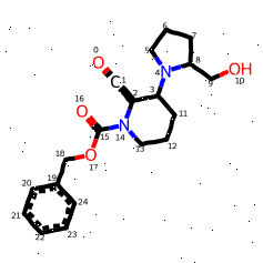 O=C=C1C(N2CCCC2CO)CCCN1C(=O)OCc1ccccc1